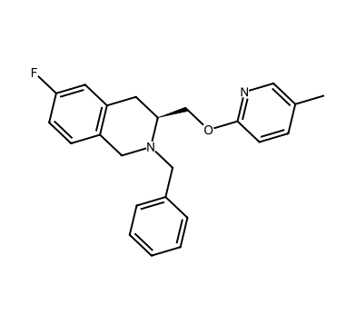 Cc1ccc(OC[C@@H]2Cc3cc(F)ccc3CN2Cc2ccccc2)nc1